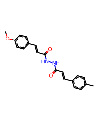 COc1ccc(/C=C/C(=O)NNC(=O)/C=C/c2ccc(C)cc2)cc1